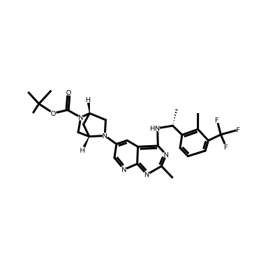 Cc1nc(N[C@H](C)c2cccc(C(F)(F)F)c2C)c2cc(N3C[C@@H]4C[C@H]3CN4C(=O)OC(C)(C)C)cnc2n1